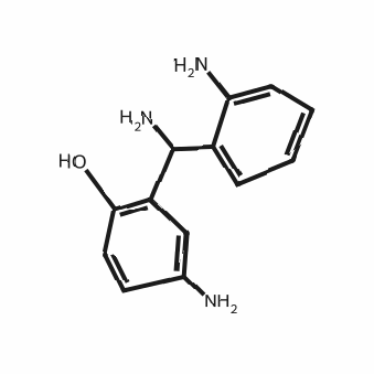 Nc1ccc(O)c(C(N)c2ccccc2N)c1